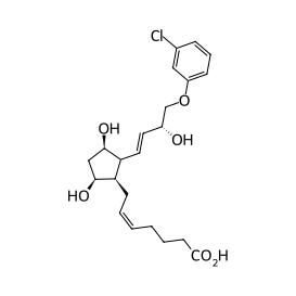 O=C(O)CCC/C=C\C[C@@H]1C(/C=C/[C@@H](O)COc2cccc(Cl)c2)[C@H](O)C[C@@H]1O